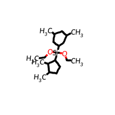 CCO[Si](OCC)(C1CC(C)CC(C)C1)C1CCC(C)C1C